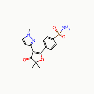 Cn1ccc(C2=C(c3ccc(S(N)(=O)=O)cc3)OC(C)(C)C2=O)n1